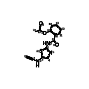 C#CNc1cnc(NC(=O)c2ccccc2OC(C)=O)s1